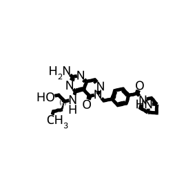 CCC[C@@H](CO)Nc1nc(N)nc2cnn(Cc3ccc(C(=O)N4CC5CC(C4)N5)cc3)c(=O)c12